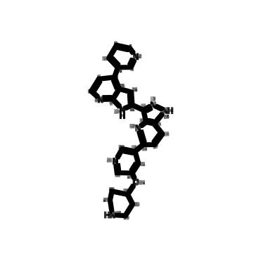 c1cncc(-c2ccnc3[nH]c(-c4n[nH]c5ccc(-c6cncc(OC7CCNCC7)c6)nc45)cc23)c1